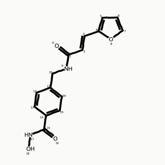 O=C(C=Cc1ccco1)NCc1ccc(C(=O)NO)cc1